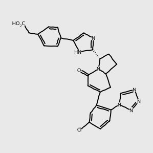 O=C(O)Cc1ccc(-c2cnc([C@@H]3CCC4CC(c5cc(Cl)ccc5-n5cnnn5)=CC(=O)N43)[nH]2)cc1